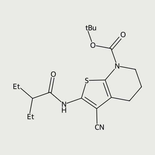 CCC(CC)C(=O)Nc1sc2c(c1C#N)CCCN2C(=O)OC(C)(C)C